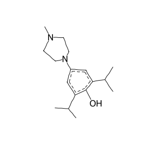 CC(C)c1cc(N2CCN(C)CC2)cc(C(C)C)c1O